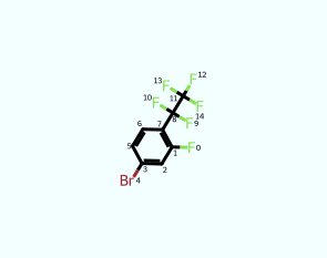 Fc1cc(Br)ccc1C(F)(F)C(F)(F)F